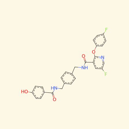 O=C(NCc1ccc(CNC(=O)c2cc(F)cnc2Oc2ccc(F)cc2)cc1)c1ccc(O)cc1